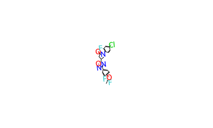 CC(F)(F)Oc1ccc(-c2noc(C3CC(=O)N(c4ccc(Cl)cc4F)C3)n2)cc1